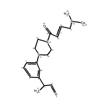 CC(C=O)c1cccc(N2CCN(C(=O)/C=C/CN(C)C)CC2)c1